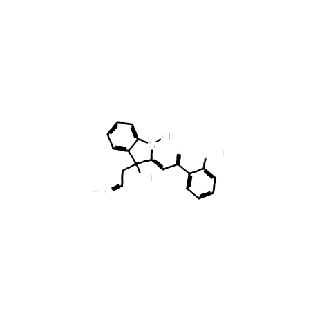 C=CCC1(C)/C(=C/C(=O)c2ccccc2C(=O)O)N(C)c2ccccc21